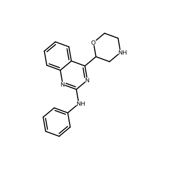 c1ccc(Nc2nc(C3CNCCO3)c3ccccc3n2)cc1